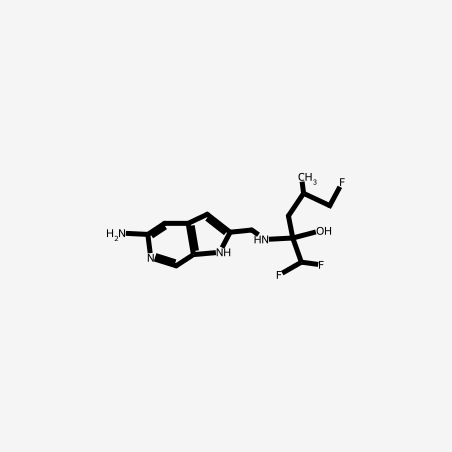 CC(CF)CC(O)(NCc1cc2cc(N)ncc2[nH]1)C(F)F